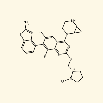 CN1CCC[C@H]1COc1nc(N2CCNC3CC32)c2cc(Cl)c(-c3cccc4sc(N)nc34)c(F)c2n1